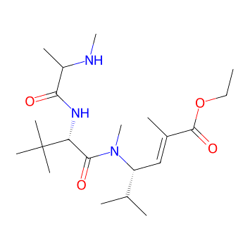 CCOC(=O)/C(C)=C/[C@H](C(C)C)N(C)C(=O)[C@@H](NC(=O)C(C)NC)C(C)(C)C